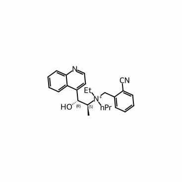 CCC[N+](CC)(Cc1ccccc1C#N)[C@@H](C)[C@H](O)c1ccnc2ccccc12